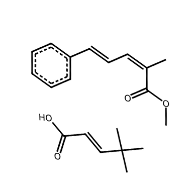 CC(C)(C)C=CC(=O)O.COC(=O)C(C)=CC=Cc1ccccc1